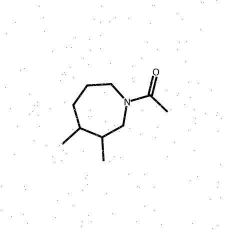 CC(=O)N1CCCC(C)C(C)C1